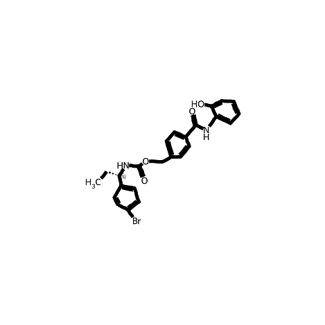 CC[C@H](NC(=O)OCc1ccc(C(=O)Nc2ccccc2O)cc1)c1ccc(Br)cc1